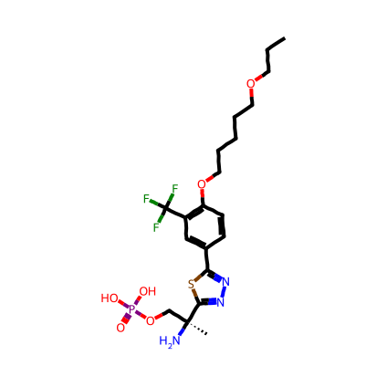 CCCOCCCCCOc1ccc(-c2nnc([C@@](C)(N)COP(=O)(O)O)s2)cc1C(F)(F)F